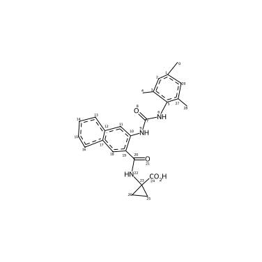 Cc1cc(C)c(NC(=O)Nc2cc3ccccc3cc2C(=O)NC2(C(=O)O)CC2)c(C)c1